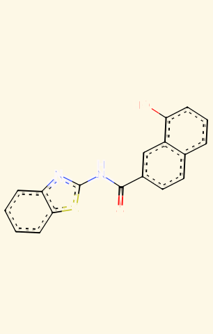 O=C(Nc1nc2ccccc2s1)c1ccc2cccc(O)c2c1